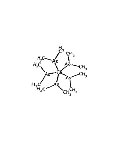 C[As](C)[Ta]([As](C)C)([As](C)C)([As](C)C)[As](C)C